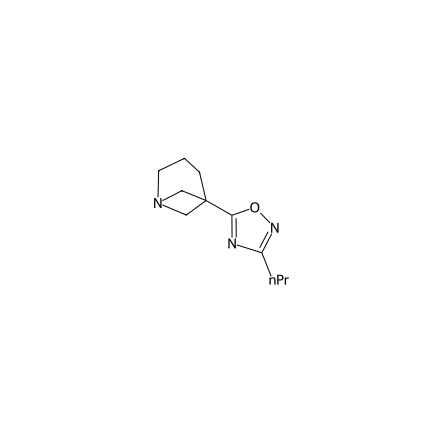 CCCc1noc(C23CCCN(C2)C3)n1